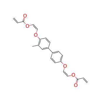 C=CC(=O)O/C=C\Oc1ccc(-c2ccc(O/C=C\OC(=O)C=C)c(C)c2)cc1